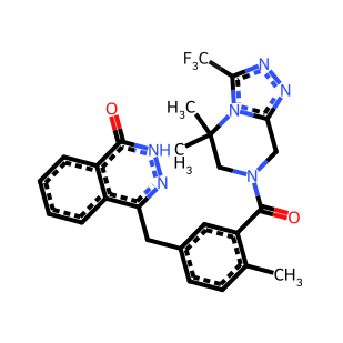 Cc1ccc(Cc2n[nH]c(=O)c3ccccc23)cc1C(=O)N1Cc2nnc(C(F)(F)F)n2C(C)(C)C1